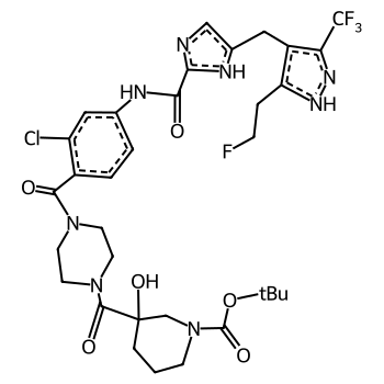 CC(C)(C)OC(=O)N1CCCC(O)(C(=O)N2CCN(C(=O)c3ccc(NC(=O)c4ncc(Cc5c(C(F)(F)F)n[nH]c5CCF)[nH]4)cc3Cl)CC2)C1